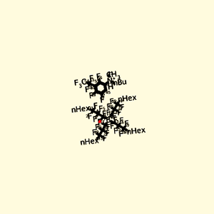 CCCCCCC(F)(F)C(F)(F)C(F)(F)[B-](C(F)(F)C(F)(F)C(F)(F)CCCCCC)(C(F)(F)C(F)(F)C(F)(F)CCCCCC)C(F)(F)C(F)(F)C(F)(F)CCCCCC.CCCC[NH+](C)c1cc(F)c(F)c(C(F)(F)C(F)(F)F)c1F